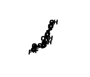 O=C(NC1CCN(CCN2CCC(O)CC2)CC1)c1cc2c(OCc3coc4cc(F)cc(F)c34)cccc2[nH]1